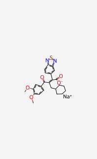 COc1ccc(C(=O)C(CC2CCCCC2)=C(C(=O)[O-])c2ccc3nsnc3c2)cc1OC.[Na+]